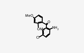 COc1ccc(C(=O)c2cc(Cl)ccc2N)c(OC)c1